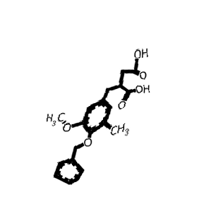 COc1cc(CC(CC(=O)O)C(=O)O)cc(C)c1OCc1ccccc1